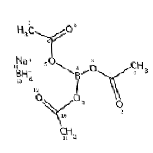 CC(=O)OB(OC(C)=O)OC(C)=O.[BH4-].[Na+]